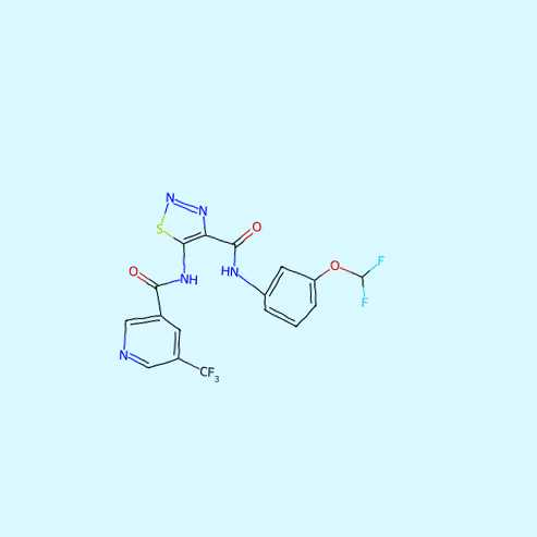 O=C(Nc1snnc1C(=O)Nc1cccc(OC(F)F)c1)c1cncc(C(F)(F)F)c1